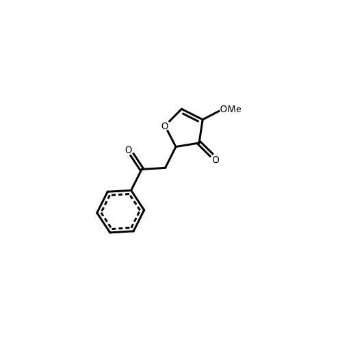 COC1=COC(CC(=O)c2ccccc2)C1=O